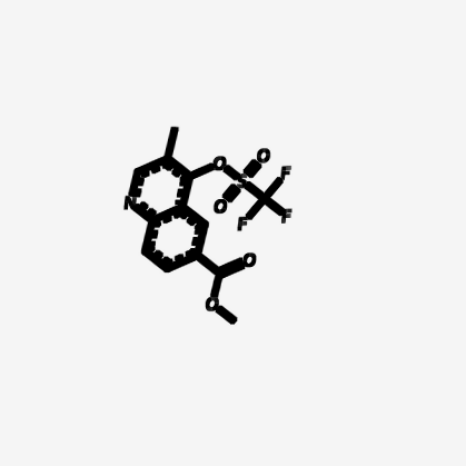 COC(=O)c1ccc2ncc(C)c(OS(=O)(=O)C(F)(F)F)c2c1